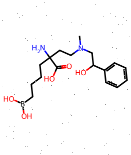 CN(CCC(N)(CCCCB(O)O)C(=O)O)CC(O)c1ccccc1